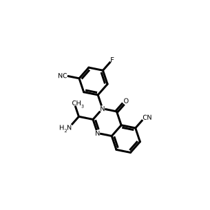 CC(N)c1nc2cccc(C#N)c2c(=O)n1-c1cc(F)cc(C#N)c1